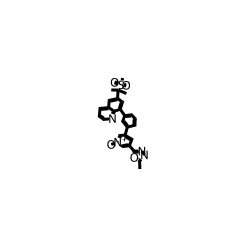 Cc1nnc(-c2cc(-c3cccc(-c4cc(C(C)(C)S(C)(=O)=O)cc5cccnc45)c3)c[n+]([O-])c2)o1